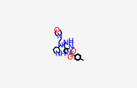 CNc1c(C(=N)N(CCN2CCOCC2)C2CCCNC2)ccn1S(=O)(=O)c1ccc(C)cc1